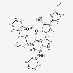 CCc1cc([C@H]2O[C@@H](n3cnc4c(NC5CCOCC5)nc(N(CO)CCc5ccccc5)nc43)[C@H](OC=O)[C@@H]2O)on1